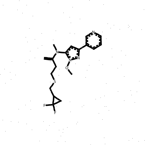 C=C(CCSCC1CC1(F)F)N(C)c1cc(-c2cccnc2)nn1OC